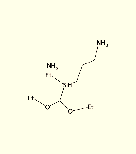 CCOC(OCC)[SiH](CC)CCCN.N